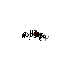 C[C@]12C=CC(=O)C=C1CC[C@@H]1C2[C@@H](O)C[C@@]2(C)C1C[C@H]1O[C@@H](c3ccc(CSc4cccc(N)c4)cc3)O[C@]12C(=O)CO